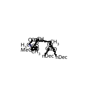 CCCCCCCCCCCCCCCC(=O)OCC(COC(=O)CCCCCCCCCCCCCCC)OC(=O)C(C)CCCCCCCCC(C)C(=O)OCCOc1c(C/C=C(\C)CCC(=O)OC)c(OC)c(C)c2c1C(=O)OC2